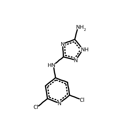 Nc1nc(Nc2cc(Cl)nc(Cl)c2)n[nH]1